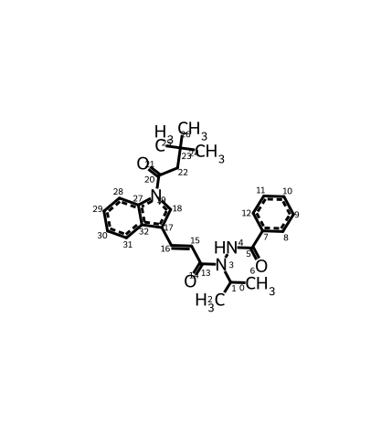 CC(C)N(NC(=O)c1ccccc1)C(=O)C=Cc1cn(C(=O)CC(C)(C)C)c2ccccc12